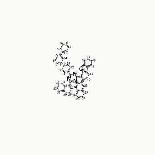 c1ccc(-c2cccc(-c3ccc(-c4nc(-c5c(-c6cccc7ccccc67)ccc6ccccc56)nc(-c5cccc6c5oc5ccccc56)n4)cc3)c2)cc1